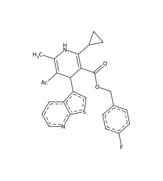 CC(=O)C1=C(C)NC(C2CC2)=C(C(=O)OCc2ccc(F)cc2)C1c1csc2ncccc12